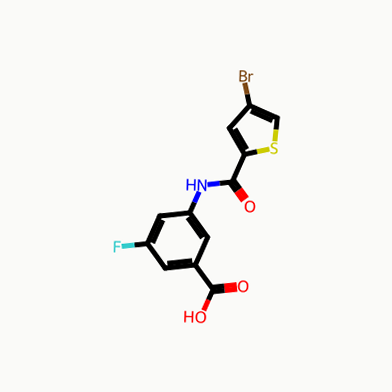 O=C(O)c1cc(F)cc(NC(=O)c2cc(Br)cs2)c1